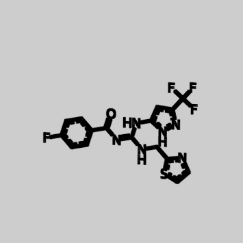 O=C(/N=C(/NCc1nccs1)Nc1cc(C(F)(F)F)n[nH]1)c1ccc(F)cc1